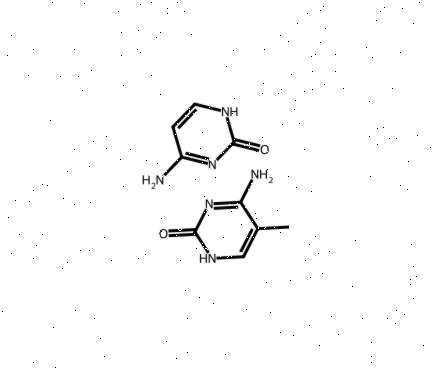 Cc1c[nH]c(=O)nc1N.Nc1cc[nH]c(=O)n1